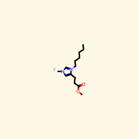 CCCCCC[n+]1cn(C)cc1CCC(=O)OC.[I-]